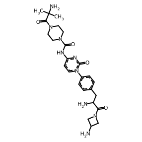 CC(C)(N)C(=O)N1CCN(C(=O)Nc2ccn(-c3ccc(CC(N)C(=O)N4CC(N)C4)cc3)c(=O)n2)CC1